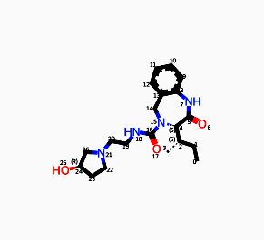 CC[C@H](C)[C@H]1C(=O)Nc2ccccc2CN1C(=O)NCCN1CC[C@@H](O)C1